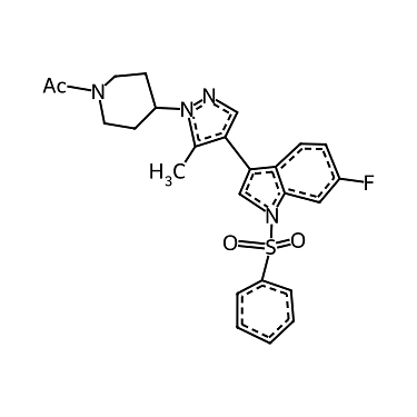 CC(=O)N1CCC(n2ncc(-c3cn(S(=O)(=O)c4ccccc4)c4cc(F)ccc34)c2C)CC1